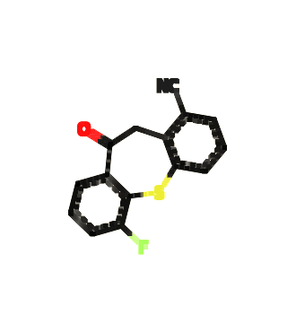 N#Cc1cccc2c1CC(=O)c1cccc(F)c1S2